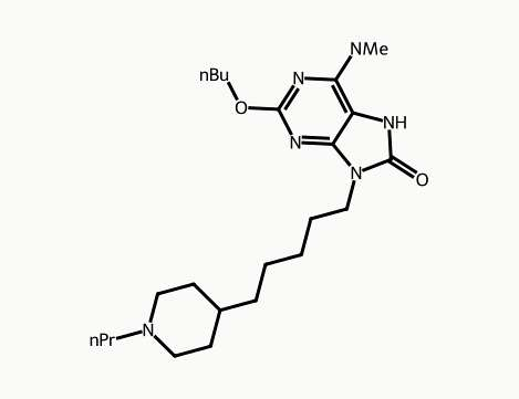 CCCCOc1nc(NC)c2[nH]c(=O)n(CCCCCC3CCN(CCC)CC3)c2n1